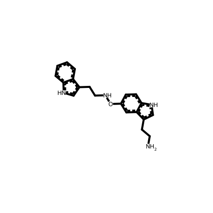 NCCc1c[nH]c2ccc(ONCCc3c[nH]c4ccccc34)cc12